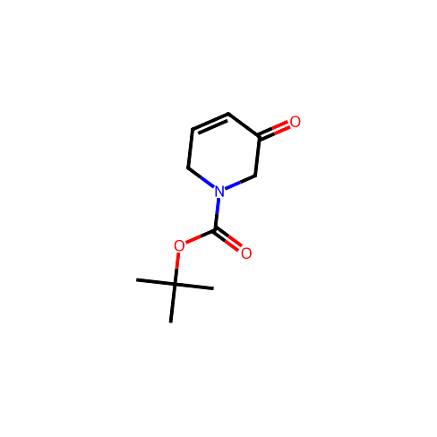 CC(C)(C)OC(=O)N1CC=CC(=O)C1